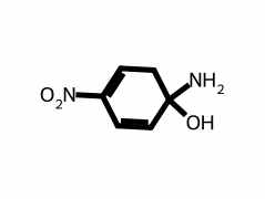 NC1(O)C=CC([N+](=O)[O-])=CC1